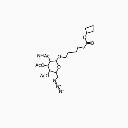 CC(=O)NC1C(OCCCCCC(=O)OC2CCC2)OC(CN=[N+]=[N-])C(OC(C)=O)C1OC(C)=O